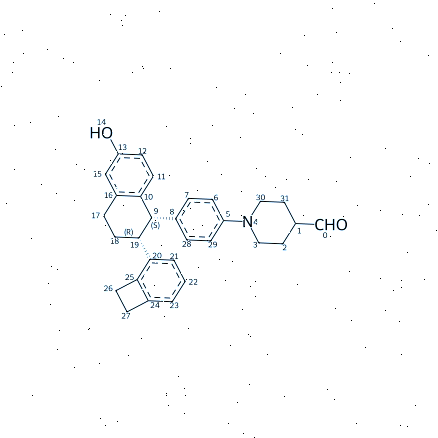 O=CC1CCN(c2ccc([C@H]3c4ccc(O)cc4CC[C@H]3c3cccc4c3CC4)cc2)CC1